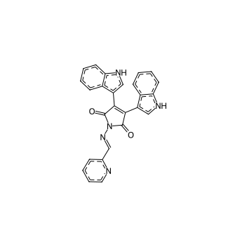 O=C1C(c2c[nH]c3ccccc23)=C(c2c[nH]c3ccccc23)C(=O)N1/N=C/c1ccccn1